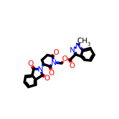 Cn1nc(C(=O)OCN2C(=O)CCC(N3C(=O)c4ccccc4C3=O)C2=O)c2ccccc21